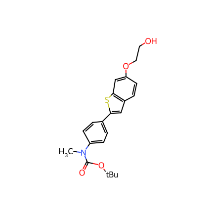 CN(C(=O)OC(C)(C)C)c1ccc(-c2cc3ccc(OCCO)cc3s2)cc1